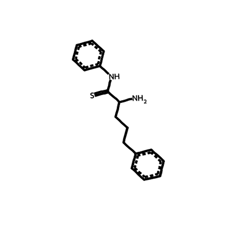 NC(CCCc1ccccc1)C(=S)Nc1ccccc1